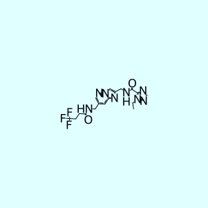 CCn1ncnc1C(=O)NCc1cn2ncc(CNC(=O)CCC(F)(F)F)cc2n1